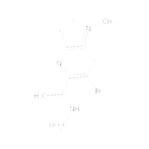 CC(NC(=O)O)c1nc2ccn(C)c2cc1Br